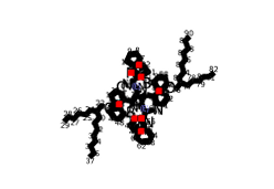 [C-]#[N+]/C(c1cnc2ccccc2n1)=c1\c2c(-c3cccc(OCC(CCCCCC)CCCCCCCC)c3)n(B(c3ccccc3)c3ccccc3)/c(=C(/C#N)c3cnc4ccccc4n3)c2c(-c2cccc(OCC(CCCCCC)CCCCCCCC)c2)n1B(c1ccccc1)c1ccccc1